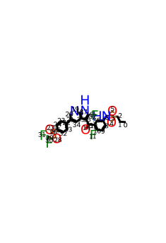 CCCS(=O)(=O)Nc1ccc(F)c(C(=O)c2c[nH]c3ncc(-c4ccc(S(=O)(=O)C(F)F)cc4)cc23)c1F